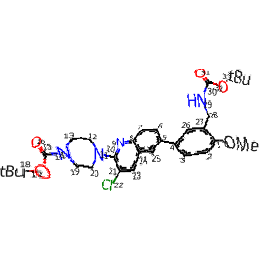 COc1ccc(-c2ccc3nc(N4CCN(C(=O)OC(C)(C)C)CC4)c(Cl)cc3c2)cc1CNC(=O)OC(C)(C)C